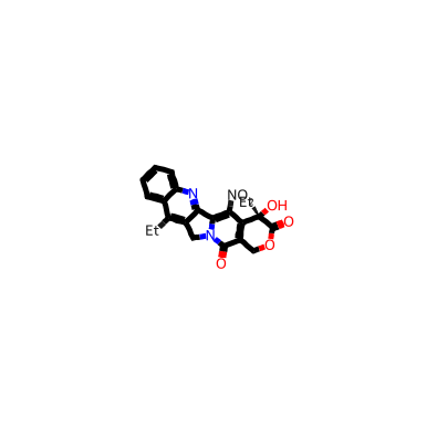 CCc1c2c(nc3ccccc13)-c1c([N+](=O)[O-])c3c(c(=O)n1C2)COC(=O)[C@]3(O)CC